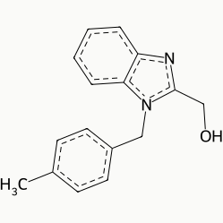 Cc1ccc(Cn2c(CO)nc3ccccc32)cc1